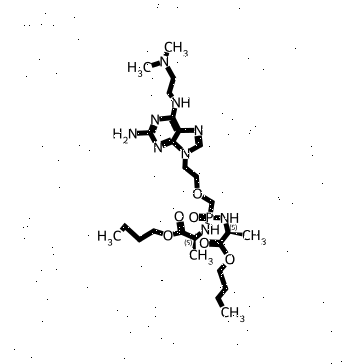 CCCCOC(=O)[C@H](C)NP(=O)(COCCn1cnc2c(NCCN(C)C)nc(N)nc21)N[C@@H](C)C(=O)OCCCC